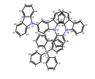 c1ccc([Si](c2ccccc2)(c2ccccc2)c2ccccc2-c2cccc(-n3c4ccccc4c4ccccc43)c2-n2c3ccccc3c3cc(-n4c5ccccc5c5ccccc54)ccc32)cc1